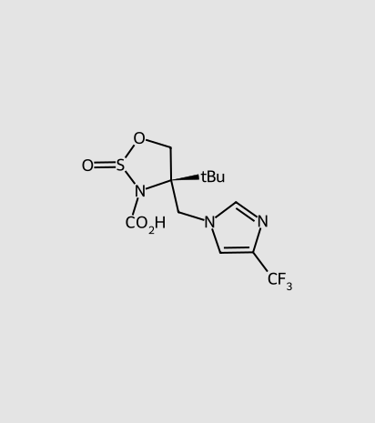 CC(C)(C)[C@]1(Cn2cnc(C(F)(F)F)c2)COS(=O)N1C(=O)O